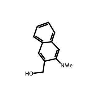 CNc1cc2ccccc2cc1CO